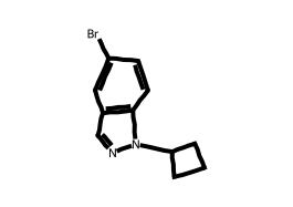 Brc1ccc2c(cnn2C2CCC2)c1